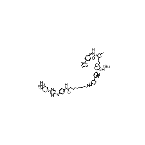 Cc1ncsc1-c1ccc([C@H](C)NC(=O)[C@@H]2CC(C)CC2CCC(=O)[C@@H](NC(=O)c2ccc(C3CCC4(C3)CN(CCCCCCCCC(=O)Nc3ccc(Sc5cnc(N6CCC(N)(CF)CC6)cn5)cc3)C4)nn2)C(C)(C)C)cc1